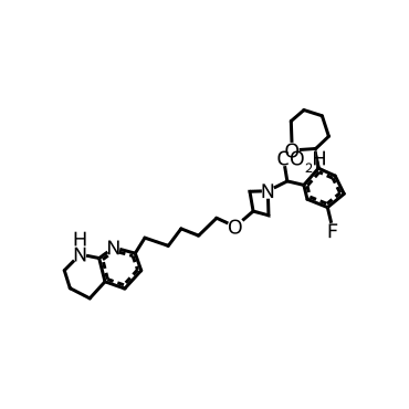 O=C(O)C(c1cc(F)ccc1[C@@H]1CCCCO1)N1CC(OCCCCCc2ccc3c(n2)NCCC3)C1